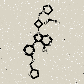 NC(=O)[C@H]1CCCN1C[C@H]1C[C@@H](n2cc(-c3cccc(OCC4CCCO4)c3)c3c(N)ncnc32)C1